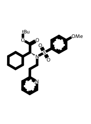 COc1ccc(S(=O)(=O)N(CCc2ccccn2)[C@@H](C(=O)OC(C)(C)C)C2CCCCC2)cc1